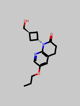 CCCOc1cnc2c(c1)CCC(=O)N2[C@H]1C[C@H](CO)C1